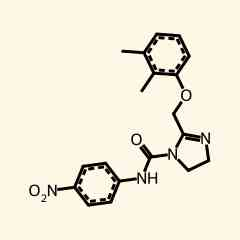 Cc1cccc(OCC2=NCCN2C(=O)Nc2ccc([N+](=O)[O-])cc2)c1C